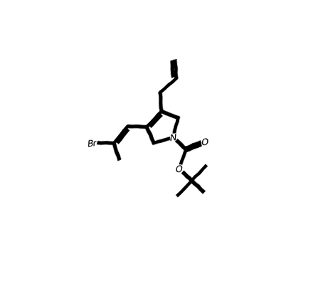 C=CCC1=C(/C=C(\C)Br)CN(C(=O)OC(C)(C)C)C1